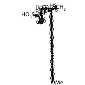 COCCOCCOCCOCCOCCOCCOCOCCOCCOCCOCCOCCOCCOCCOCCOCCOC/C=C/c1cc(NC(=O)[C@H](C)NC(=O)[C@@H](NC(=O)CN2C(=O)[C@@H](N3C(=O)C=CC3=O)C[C@H]2COCCS(=O)(=O)O)C(C)C)ccc1COC(=O)C(C)S